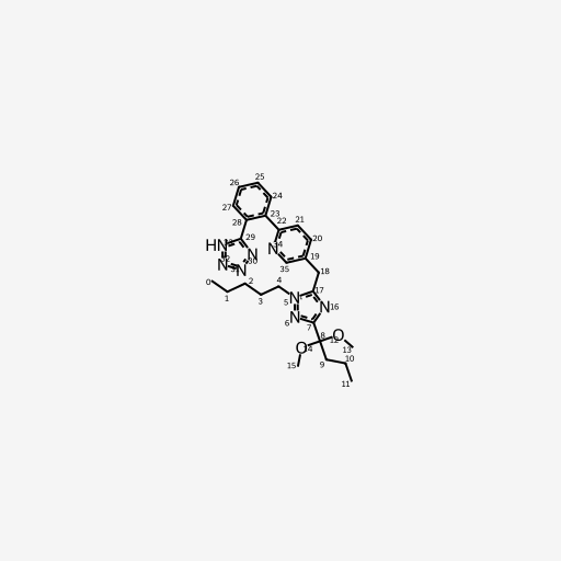 CCCCCn1nc(C(CCC)(OC)OC)nc1Cc1ccc(-c2ccccc2-c2nnn[nH]2)nc1